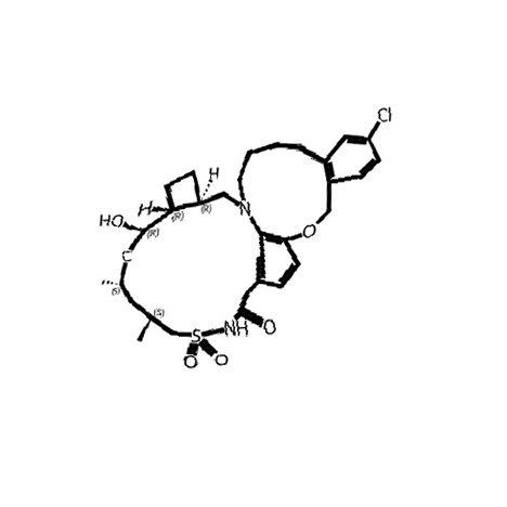 C[C@H]1C[C@H](C)CS(=O)(=O)NC(=O)c2ccc3c(c2)N(CCCCc2cc(Cl)ccc2CO3)C[C@@H]2CC[C@H]2[C@H](O)C1